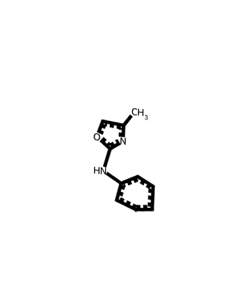 Cc1coc(Nc2c[c]ccc2)n1